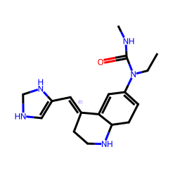 CCN(C(=O)NC)C1=CCC2NCC/C(=C\C3=CNCN3)C2=C1